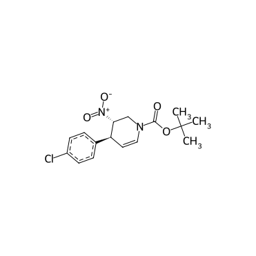 CC(C)(C)OC(=O)N1C=C[C@@H](c2ccc(Cl)cc2)[C@H]([N+](=O)[O-])C1